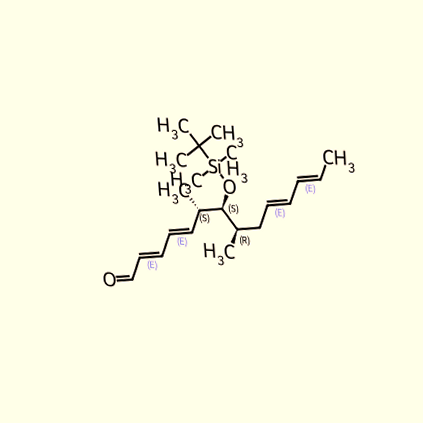 C/C=C/C=C/C[C@@H](C)[C@H](O[Si](C)(C)C(C)(C)C)[C@@H](C)/C=C/C=C/C=O